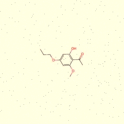 CCCOc1cc(O)c(C(C)=O)c(OC)c1